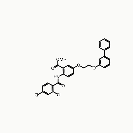 COC(=O)c1cc(OCCOc2cccc(-c3ccccc3)c2)ccc1NC(=O)c1ccc(Cl)cc1Cl